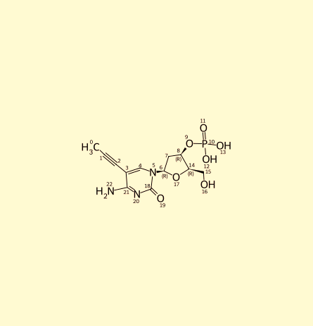 CC#Cc1cn([C@H]2C[C@@H](OP(=O)(O)O)[C@@H](CO)O2)c(=O)nc1N